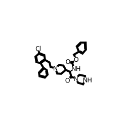 O=C(N[C@@H](C(=O)N1CCNCC1)C1CCN(CCc2cc(Cl)ccc2-c2ccccc2)CC1)OCc1ccccc1